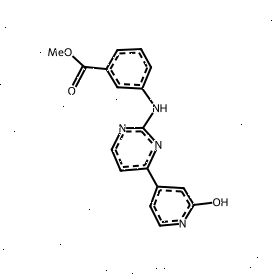 COC(=O)c1cccc(Nc2nccc(-c3ccnc(O)c3)n2)c1